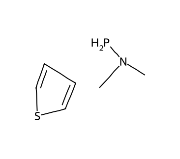 CN(C)P.c1ccsc1